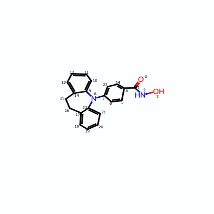 O=C(NO)c1ccc(N2c3ccccc3CCc3ccccc32)cc1